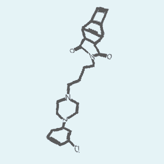 O=C1C2C3C=CC(C4C=CC43)C2C(=O)N1CCCCN1CCN(c2cccc(Cl)c2)CC1